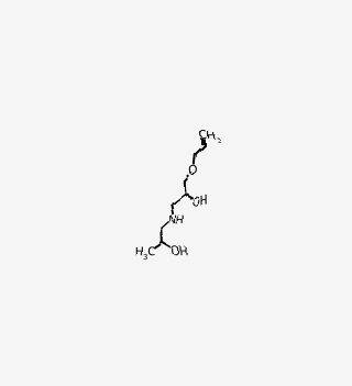 C=CCOCC(O)CNCC(C)O